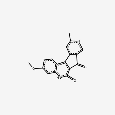 COc1ccc2c3c(c(=O)[nH]c2c1)C(=O)c1cnc(C)cc1-3